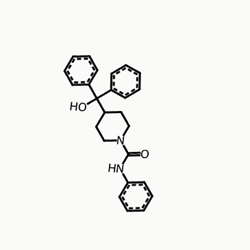 O=C(Nc1ccccc1)N1CCC(C(O)(c2ccccc2)c2ccccc2)CC1